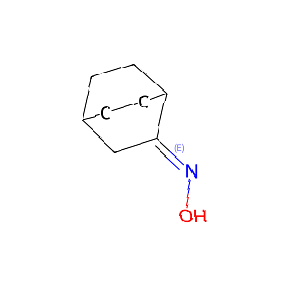 O/N=C1\CC2CCC1CC2